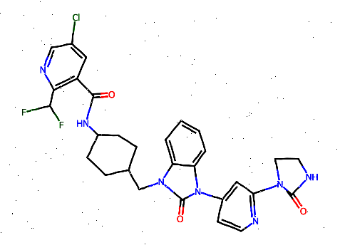 O=C(NC1CCC(Cn2c(=O)n(-c3ccnc(N4CCNC4=O)c3)c3ccccc32)CC1)c1cc(Cl)cnc1C(F)F